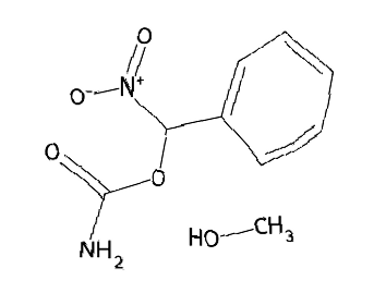 CO.NC(=O)OC(c1ccccc1)[N+](=O)[O-]